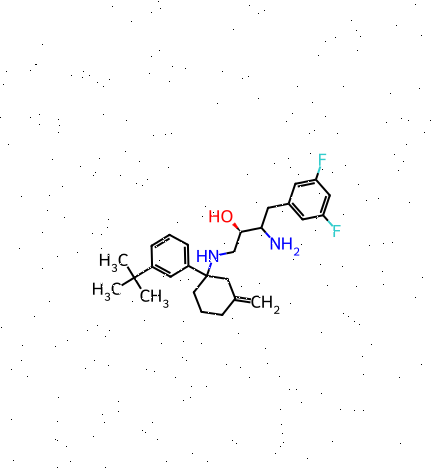 C=C1CCCC(NC[C@@H](O)C(N)Cc2cc(F)cc(F)c2)(c2cccc(C(C)(C)C)c2)C1